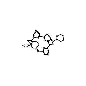 O=C(O)N1CCC[C@@H](Oc2cncc(-c3nn(C4CCCCO4)c4ccc(-c5cncc(C6CC6)n5)cc34)n2)C1